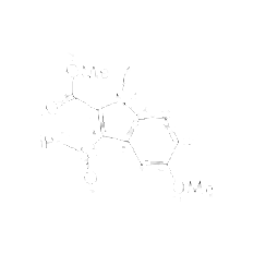 COC(=O)c1c([S+]([O-])C(C)C)c2cc(OC)ccc2n1C